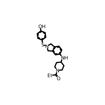 CCC(=O)N1CCC(Nc2ccc3c(c2)CN(Sc2ccc(O)cc2)C3)CC1